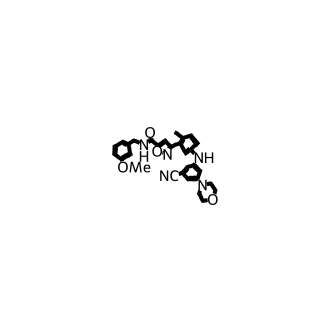 COc1cccc(CNC(=O)c2cc(-c3cc(Nc4cc(C#N)cc(N5CCOCC5)c4)ccc3C)no2)c1